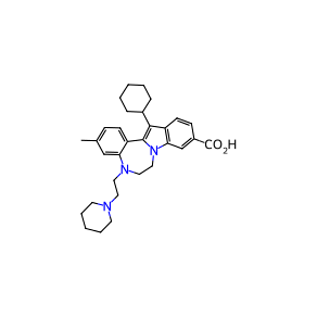 Cc1ccc2c(c1)N(CCN1CCCCC1)CCn1c-2c(C2CCCCC2)c2ccc(C(=O)O)cc21